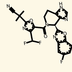 CC(C)(C#N)c1nc(C(F)F)c(C(=O)N2CCc3[nH]cnc3[C@H]2c2nc3cc(F)ccc3o2)o1